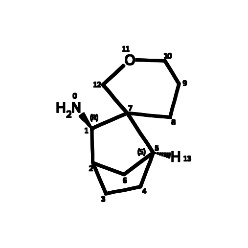 N[C@@H]1C2CC[C@@H](C2)C12CCCOC2